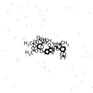 COC(=O)[C@H]1O[C@@H](Oc2ccc3nnn(CC(=O)N[C@@H](C)c4ccc(OC(F)(F)F)cc4)c(=O)c3c2)[C@H](OC(C)=O)[C@@H](OC(C)=O)[C@@H]1OC(C)=O